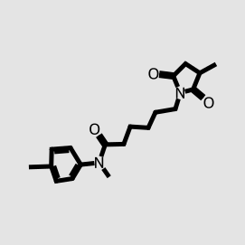 Cc1ccc(N(C)C(=O)CCCCCN2C(=O)CC(C)C2=O)cc1